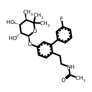 CC(=O)NCCc1ccc(O[C@@H]2OC(C)(C)[C@H](C)[C@@H](O)[C@H]2O)cc1-c1cccc(F)c1